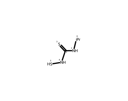 CC(C)NC(=S)NS